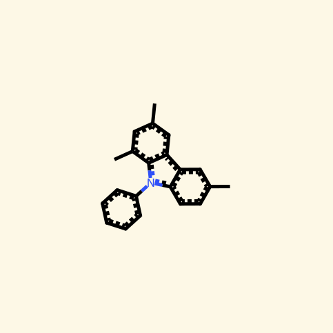 Cc1ccc2c(c1)c1cc(C)cc(C)c1n2-c1ccccc1